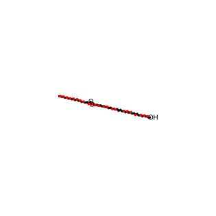 CCCCCCCCC=CCCCCCCCCCC(=O)OCCCCCCCCCCCCCCCCCCCCCCCCCCCCCCCCCCO